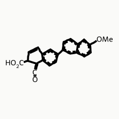 COc1ccc2cc(-c3ccc4c(c3)C=CC(C(=O)O)C4=C=O)ccc2c1